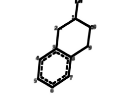 BrC1[CH]c2ccccc2CC1